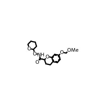 COCOc1ccc2c(c1)OC(C(=O)NOC1CCCCO1)CC2